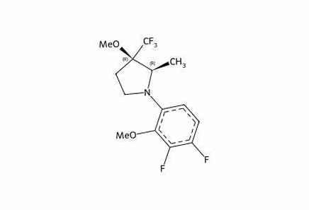 COc1c(N2CC[C@](OC)(C(F)(F)F)[C@H]2C)ccc(F)c1F